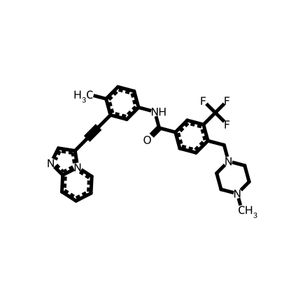 Cc1ccc(NC(=O)c2ccc(CN3CCN(C)CC3)c(C(F)(F)F)c2)cc1C#Cc1cnc2ccccn12